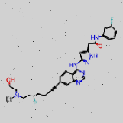 CCN(CCO)CCC(F)CCC#Cc1ccc2c(Nc3cc(CC(=O)Nc4cccc(F)c4)[nH]n3)ncnc2c1